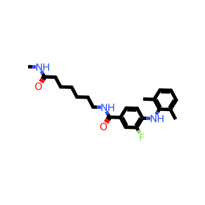 CNC(=O)CCCCCCNC(=O)c1ccc(Nc2c(C)cccc2C)c(F)c1